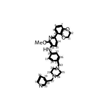 COc1nc(-c2cccc3c2OCCO3)ccc1Nc1ccc(CN2CCN(Cc3cccnc3)CC2)cc1